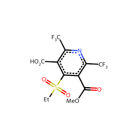 CCS(=O)(=O)c1c(C(=O)O)c(C(F)(F)F)nc(C(F)(F)F)c1C(=O)OC